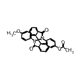 COc1ccc(N2C(=O)c3ccccc3C23c2ccccc2C(=O)N3c2ccc(OC(C)=O)cc2)cc1